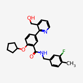 Cc1ccc(CNC(=O)c2cc(-c3ncccc3CO)ccc2OC2CCCC2)cc1F